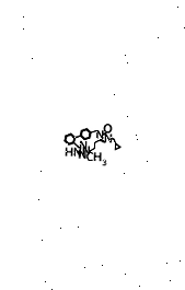 CCCCc1cn(CC2CC2)c(=O)n1Cc1ccc(-c2ccccc2-c2nnn[nH]2)cc1